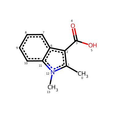 Cc1c(C(=O)O)c2ccccc2n1C